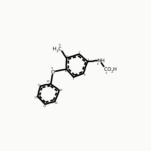 Cc1cc(NC(=O)O)ccc1Oc1ccccc1